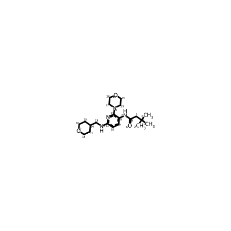 CC(C)(C)CC(=O)Nc1ccc(NCC2CCOCC2)nc1N1CCOCC1